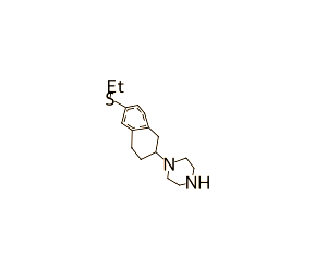 CCSc1ccc2c(c1)CCC(N1CCNCC1)C2